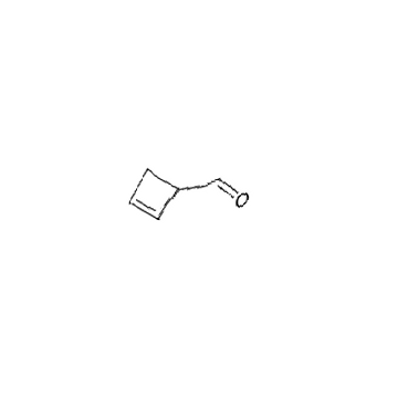 O=CC1C=CC1